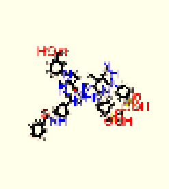 Cc1c(C#N)c(Nc2ccc(S(=O)(=O)O)cc2)nc(Nc2ccc(S(=O)(=O)O)cc2)c1N=Nc1nc(-c2ccc(NC(=O)c3ccccc3)cc2)c(/N=N\c2c(C#N)ccn2-c2cccc(C(=O)O)c2)s1